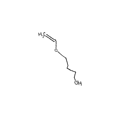 C=COCCCO